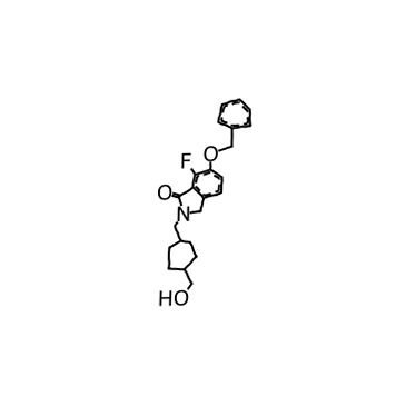 O=C1c2c(ccc(OCc3ccccc3)c2F)CN1CC1CCC(CO)CC1